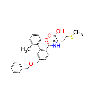 CSCC[C@H](NC(=O)c1ccc(COCc2ccccc2)cc1-c1ccccc1C)C(=O)O